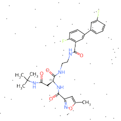 Cc1cc(C(=O)N[C@@H](CC(=O)NC(C)(C)C)C(=O)NCCNC(=O)c2cc(-c3cccc(F)c3)ccc2F)no1